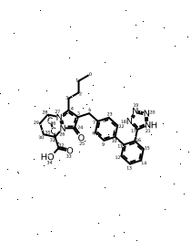 CCCCc1c(Cc2ccc(-c3ccccc3-c3nnn[nH]3)cc2)c(=O)n2n1C1CCC2(C(=O)O)CC1